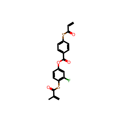 C=CC(=O)Sc1ccc(C(=O)Oc2ccc(SC(=O)C(=C)C)c(F)c2)cc1